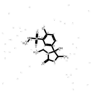 CCN1C(=O)SC(C)C1(O)c1ccc(Cl)c(S(=O)(=O)NC)c1